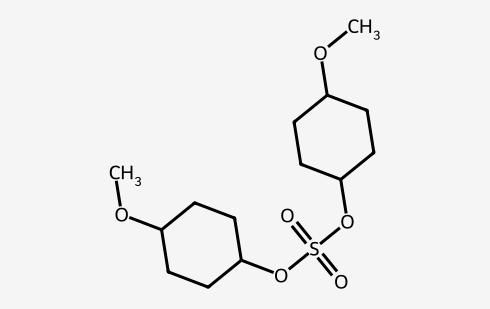 COC1CCC(OS(=O)(=O)OC2CCC(OC)CC2)CC1